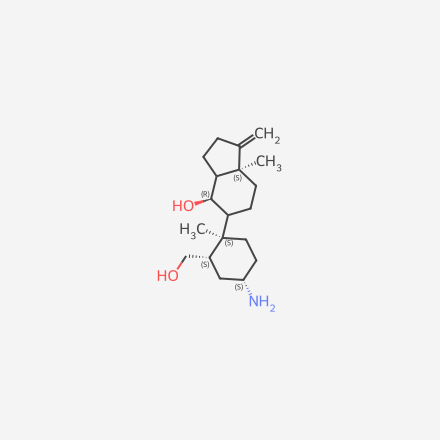 C=C1CCC2[C@H](O)C([C@@]3(C)CC[C@H](N)C[C@@H]3CO)CC[C@]12C